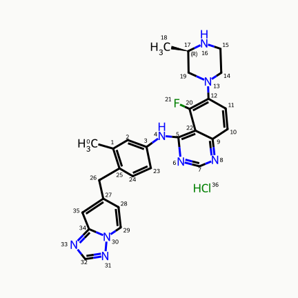 Cc1cc(Nc2ncnc3ccc(N4CCN[C@H](C)C4)c(F)c23)ccc1Cc1ccn2ncnc2c1.Cl